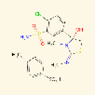 CN=C1SCC(O)(c2ccc(Cl)c(S(N)(=O)=O)c2)N1C.Cc1ccc(S(=O)(=O)O)cc1